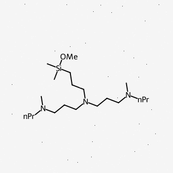 CCCN(C)CCCN(CCCN(C)CCC)CCC[Si](C)(C)OC